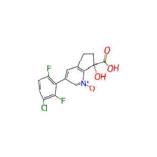 O=C(O)C1(O)CCc2cc(-c3c(F)ccc(Cl)c3F)c[n+]([O-])c21